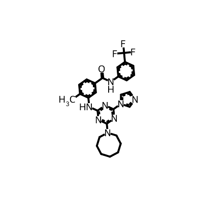 Cc1ccc(C(=O)Nc2cccc(C(F)(F)F)c2)cc1Nc1nc(N2CCCCCCC2)nc(-n2ccnc2)n1